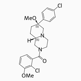 COc1cccc(C(=O)N2CCN3C[C@@](OC)(c4ccc(Cl)cc4)CC[C@H]3C2)c1Cl